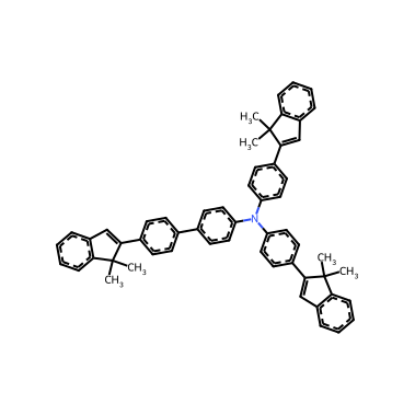 CC1(C)C(c2ccc(-c3ccc(N(c4ccc(C5=Cc6ccccc6C5(C)C)cc4)c4ccc(C5=Cc6ccccc6C5(C)C)cc4)cc3)cc2)=Cc2ccccc21